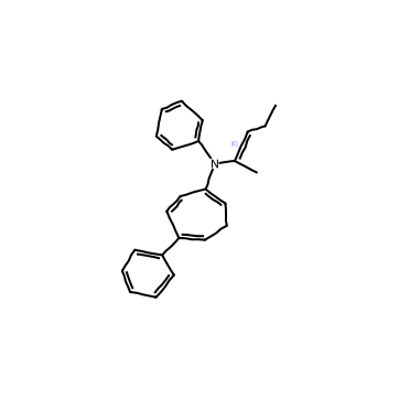 CC/C=C(\C)N(C1=CCC=C(c2ccccc2)C=C1)c1ccccc1